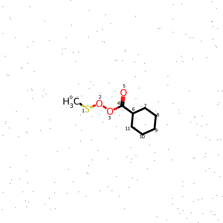 CSOOC(=O)C1CCCCC1